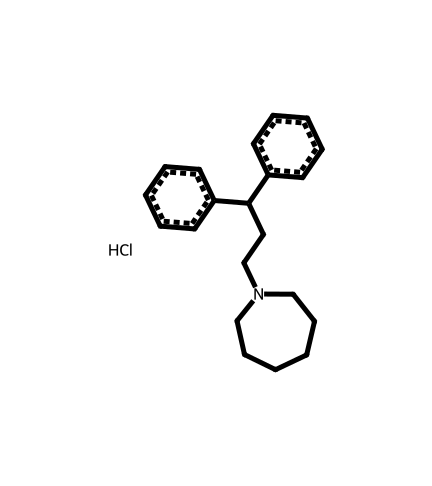 Cl.c1ccc(C(CCN2CCCCCC2)c2ccccc2)cc1